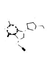 N#CBN1CN([C@H]2C[C@H](O)[C@@H](CO)O2)c2nc(N)[nH]c(=O)c21